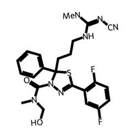 CN/C(=N/C#N)NCCCC1(c2ccccc2)SC(c2cc(F)ccc2F)=NN1C(=O)N(C)CO